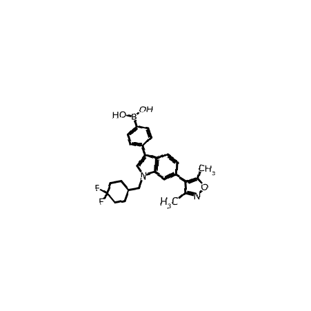 Cc1noc(C)c1-c1ccc2c(-c3ccc(B(O)O)cc3)cn(CC3CCC(F)(F)CC3)c2c1